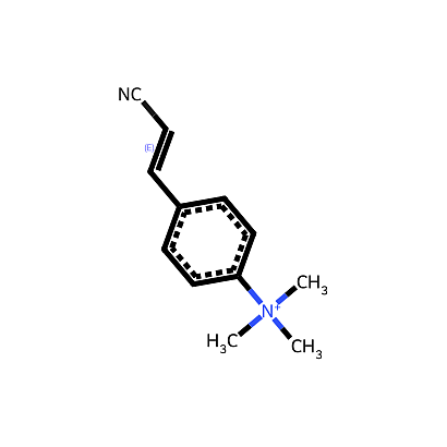 C[N+](C)(C)c1ccc(/C=C/C#N)cc1